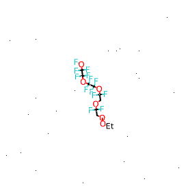 CCOOCC(F)(F)OCC(F)(F)OC(F)(F)C(F)(F)OC(F)(F)C(F)(F)OF